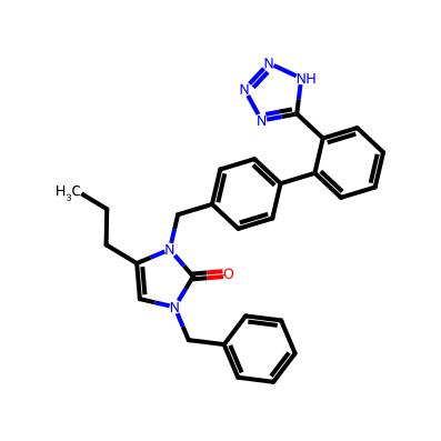 CCCc1cn(Cc2ccccc2)c(=O)n1Cc1ccc(-c2ccccc2-c2nnn[nH]2)cc1